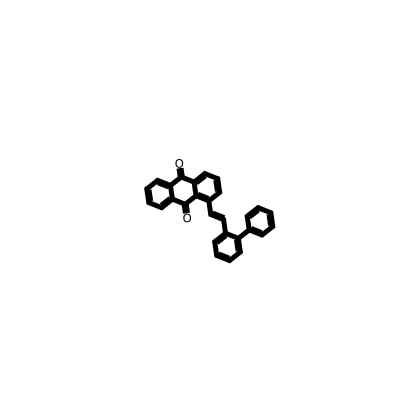 O=C1c2ccccc2C(=O)c2c(C=Cc3ccccc3-c3ccccc3)cccc21